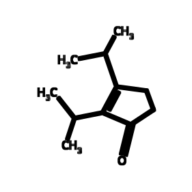 CC(C)C1=C(C(C)C)C(=O)CC1